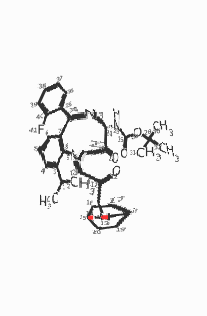 CC(C)c1cccc2c1N(CC(=O)N1CC3CCC(CC3)C1)C(=O)[C@@H](NC(=O)OC(C)(C)C)N=C2c1ccccc1F